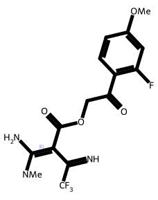 CN/C(N)=C(\C(=N)C(F)(F)F)C(=O)OCC(=O)c1ccc(OC)cc1F